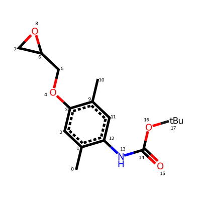 Cc1cc(OCC2CO2)c(C)cc1NC(=O)OC(C)(C)C